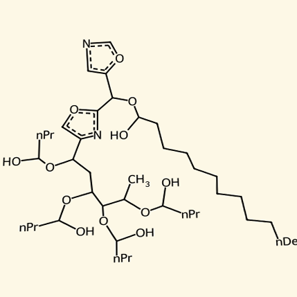 CCCCCCCCCCCCCCCCCCCC(O)OC(c1cnco1)c1nc(C(CC(OC(O)CCC)C(OC(O)CCC)C(C)OC(O)CCC)OC(O)CCC)co1